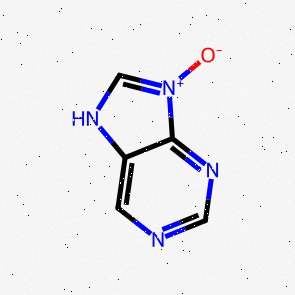 [O-][n+]1c[nH]c2cncnc21